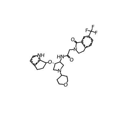 O=C(CN1CCc2ccc(C(F)(F)F)cc2C1=O)NC1CN(C2CCOCC2)C[C@@H]1OC1CCc2cc[nH]c21